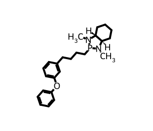 CN1[C@@H]2CCCC[C@H]2N(C)P1CCCCc1cccc(Oc2ccccc2)c1